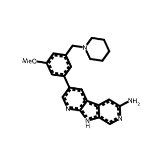 COc1cc(CN2CCCCC2)cc(-c2cnc3[nH]c4cnc(N)cc4c3c2)c1